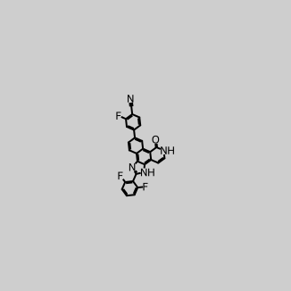 N#Cc1ccc(-c2ccc3c(c2)c2c(=O)[nH]ccc2c2[nH]c(-c4c(F)cccc4F)nc32)cc1F